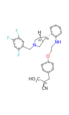 N#C[C@H](Cc1ccc(OCCNc2ccccc2[C@@H]2C3CN(Cc4cc(F)c(F)cc4F)C[C@@H]32)cc1)C(=O)O